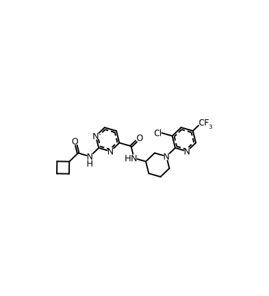 O=C(NC1CCCN(c2ncc(C(F)(F)F)cc2Cl)C1)c1ccnc(NC(=O)C2CCC2)n1